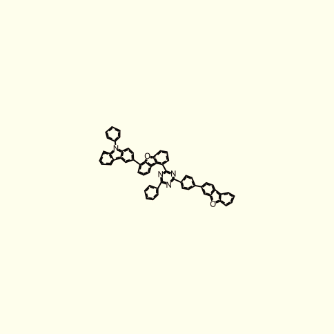 c1ccc(-c2nc(-c3ccc(-c4ccc5c(c4)oc4ccccc45)cc3)nc(-c3cccc4oc5c(-c6ccc7c(c6)c6ccccc6n7-c6ccccc6)cccc5c34)n2)cc1